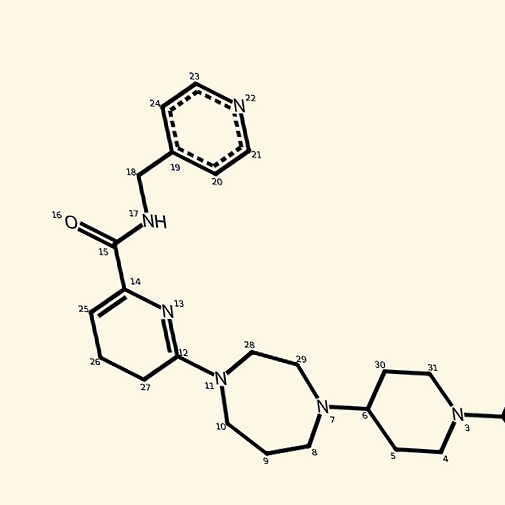 CC(C)N1CCC(N2CCCN(C3=NC(C(=O)NCc4ccncc4)=CCC3)CC2)CC1